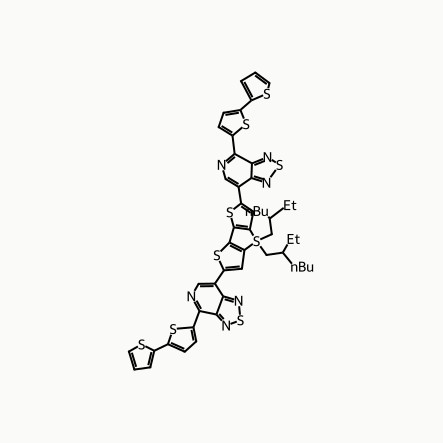 CCCCC(CC)CS1(CC(CC)CCCC)c2cc(-c3cnc(-c4ccc(-c5cccs5)s4)c4nsnc34)sc2-c2sc(-c3cnc(-c4ccc(-c5cccs5)s4)c4nsnc34)cc21